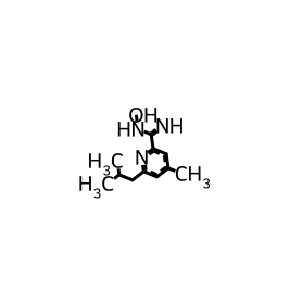 Cc1cc(CC(C)C)nc(C(=N)NO)c1